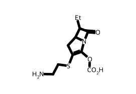 CCC1C(=O)N2C(OC(=O)O)=C(SCCN)CC12